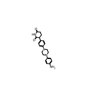 Nc1ccc(N2CCN(c3ccc(C4CCC(=O)NC4=O)cc3)CC2)cc1